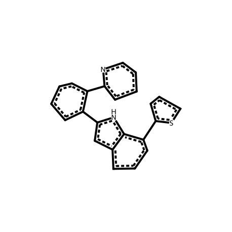 c1ccc(-c2ccccc2-c2cc3cccc(-c4cccs4)c3[nH]2)nc1